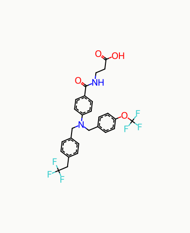 O=C(O)CCNC(=O)c1ccc(N(Cc2ccc(CC(F)(F)F)cc2)Cc2ccc(OC(F)(F)F)cc2)cc1